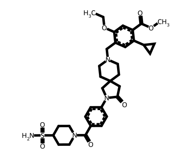 CCOc1cc(C(=O)OC)c(C2CC2)cc1CN1CCC2(CC1)CC(=O)N(c1ccc(C(=O)N3CCC(S(N)(=O)=O)CC3)cc1)C2